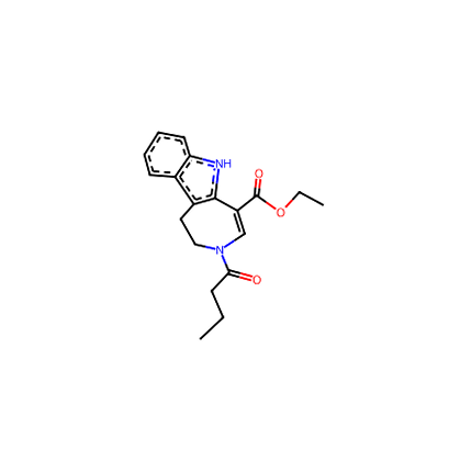 CCCC(=O)N1C=C(C(=O)OCC)c2[nH]c3ccccc3c2CC1